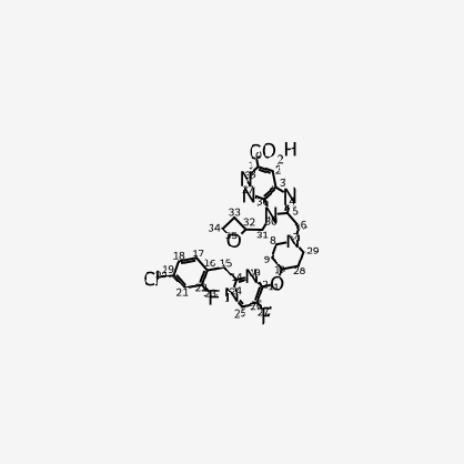 O=C(O)c1cc2nc(CN3CCC(Oc4nc(Cc5ccc(Cl)cc5F)ncc4F)CC3)n(CC3CCO3)c2nn1